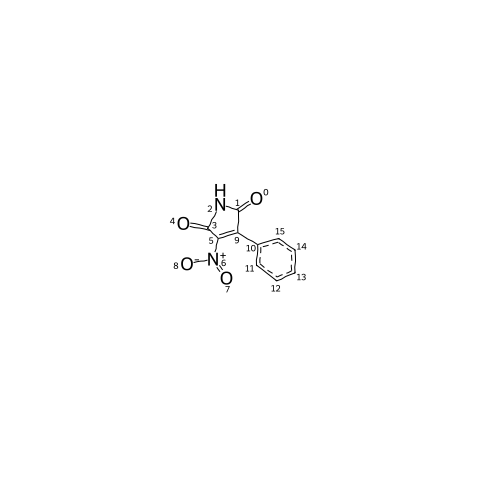 O=C1NC(=O)C([N+](=O)[O-])=C1c1ccccc1